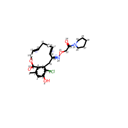 Cc1cc(O)c(Cl)c2c1C(=O)OC/C=C/CC/C=C/C(=N\OCC(=O)N1CCCCC1)C2